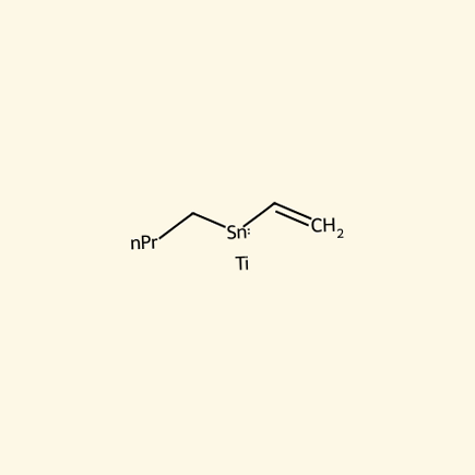 C=[CH][Sn][CH2]CCC.[Ti]